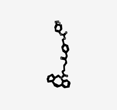 O=C(CCCCC(=O)N1Cc2ccccc2C#Cc2ccccc21)Cc1ccc(COC(=O)Oc2ccc([N+](=O)[O-])cc2)cc1